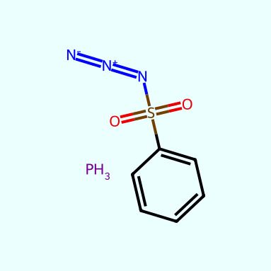 P.[N-]=[N+]=NS(=O)(=O)c1ccccc1